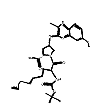 C=CCCCCCC(NC(=O)OC(C)(C)C)C(=O)N1C[C@H](Oc2nc3cc(OC)ccc3nc2C)C[C@H]1C(=O)O